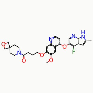 COc1cc2c(OC3=C(F)C4C=C(C)NC4N=C3)ccnc2cc1OCCCC(=O)N1CCC2(CC1)COC2